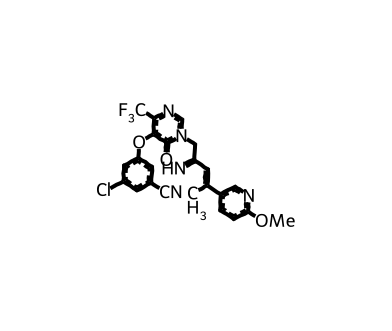 COc1ccc(/C(C)=C/C(=N)Cn2cnc(C(F)(F)F)c(Oc3cc(Cl)cc(C#N)c3)c2=O)cn1